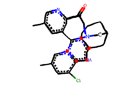 Cc1cnc(NC2CC3CCC2N(C(=O)c2ncc(C)cc2-c2ncccn2)C3)c(Cl)c1